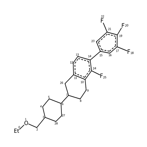 CCOCC1CCC(C2CCc3c(ccc(-c4cc(F)c(F)c(F)c4)c3F)C2)CC1